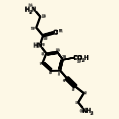 NCCC#Cc1ccc(NC(=O)CCN)cc1C(=O)O